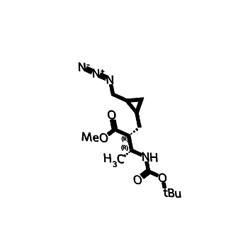 COC(=O)[C@H](CC1CC1CN=[N+]=[N-])[C@@H](C)NC(=O)OC(C)(C)C